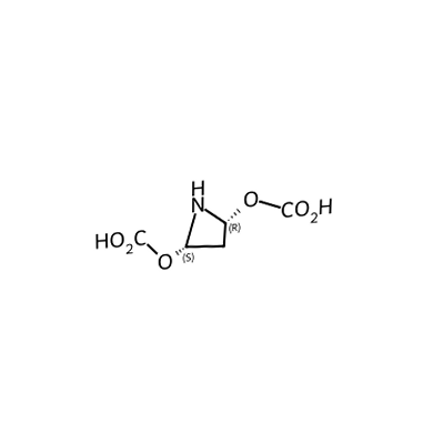 O=C(O)O[C@@H]1C[C@H](OC(=O)O)N1